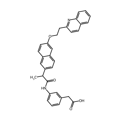 CC(C(=O)Nc1cccc(CC(=O)O)c1)c1ccc2cc(OCCc3ccc4ccccc4n3)ccc2c1